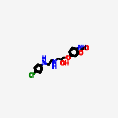 O=c1[nH]c2ccc(OCC(O)CNCCNc3ccc(Cl)cc3)cc2o1